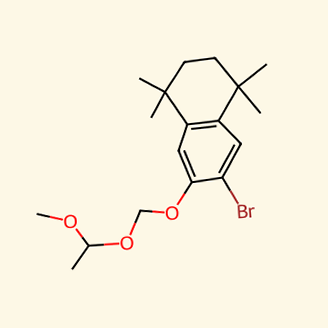 COC(C)OCOc1cc2c(cc1Br)C(C)(C)CCC2(C)C